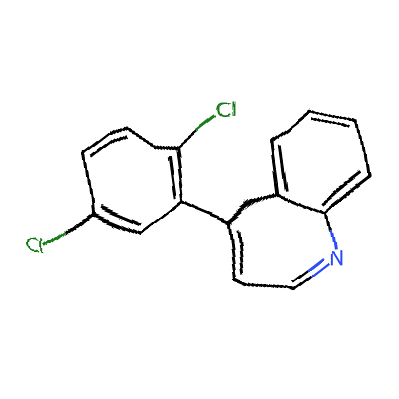 Clc1ccc(Cl)c(-c2ccnc3ccccc23)c1